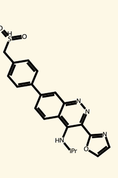 CC(C)Nc1c(-c2ncco2)nnc2cc(-c3ccc(C[SH](=O)=O)cc3)ccc12